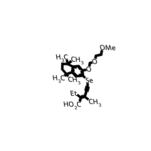 CCC(C(=O)O)=C(C)C#C[Se]c1cc2c(cc1OCOCCOC)C(C)(C)CCC2(C)C